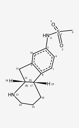 CS(=O)(=O)Nc1ccc2c(c1)C[C@H]1NCCC[C@@H]21